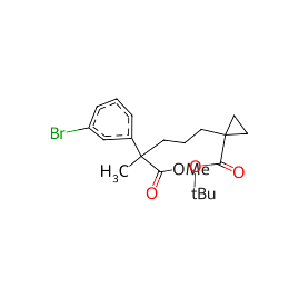 COC(=O)C(C)(CCCC1(C(=O)OC(C)(C)C)CC1)c1cccc(Br)c1